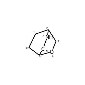 C1CC2CO[C]1CN2